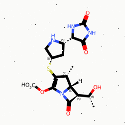 C[C@@H](O)[C@H]1C(=O)N2C(OC(=O)O)=C(S[C@@H]3CN[C@H](C4NC(=O)NC4=O)C3)[C@H](C)[C@H]12